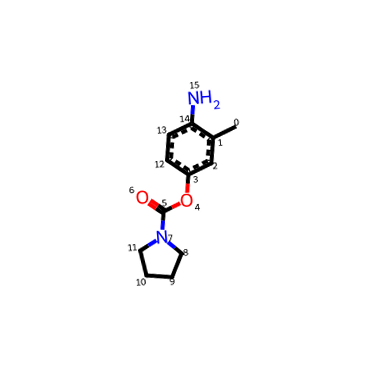 Cc1cc(OC(=O)N2CCCC2)ccc1N